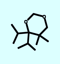 CC(C)C1(C(C)C)OCOCC1(C)C